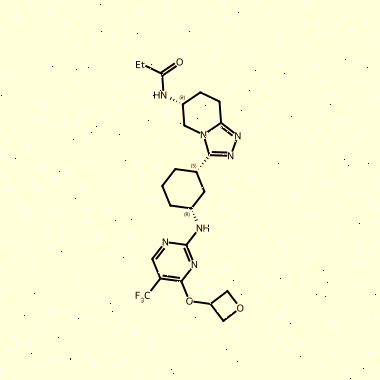 CCC(=O)N[C@@H]1CCc2nnc([C@H]3CCC[C@@H](Nc4ncc(C(F)(F)F)c(OC5COC5)n4)C3)n2C1